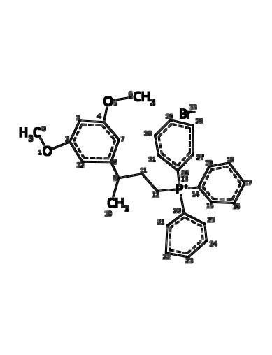 COc1cc(OC)cc(C(C)CC[P+](c2ccccc2)(c2ccccc2)c2ccccc2)c1.[Br-]